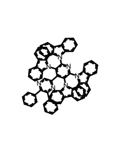 c1ccc(-c2ncc(-c3c(-n4c5ccccc5c5ccccc54)c(-n4c5ccccc5c5ccccc54)nc(-n4c5ccccc5c5ccccc54)c3-n3c4ccccc4c4ccccc43)nc2-c2ccccc2)cc1